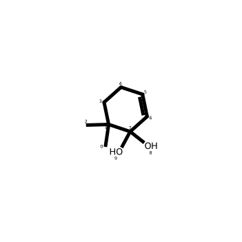 CC1(C)CCC=CC1(O)O